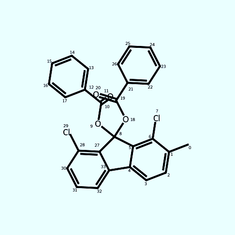 Cc1ccc2c(c1Cl)C(OC(=O)c1ccccc1)(OC(=O)c1ccccc1)c1c(Cl)cccc1-2